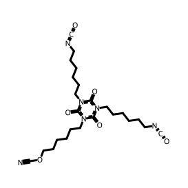 N#COCCCCCCn1c(=O)n(CCCCCCN=C=O)c(=O)n(CCCCCCN=C=O)c1=O